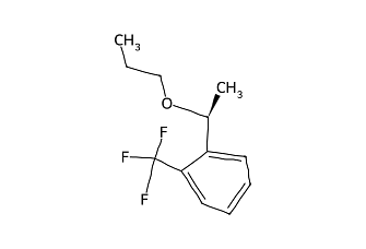 CCCO[C@@H](C)c1ccccc1C(F)(F)F